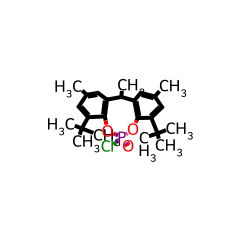 Cc1cc2c(c(C(C)(C)C)c1)OP(=O)(Cl)Oc1c(cc(C)cc1C(C)(C)C)C2C